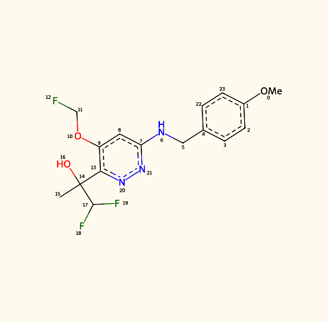 COc1ccc(CNc2cc(OCF)c(C(C)(O)C(F)F)nn2)cc1